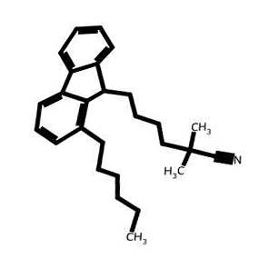 CCCCCCc1cccc2c1C(CCCCC(C)(C)C#N)c1ccccc1-2